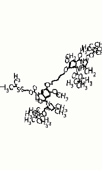 C=C1C[C@@H](CO[Si](C)(C)C(C)(C)C)N(C(=O)c2cc(OC)c(OCCCCCOc3cc(NC(=O)OCCSSC(C)C)c(C(=O)N4CC(C)(C)C[C@H]4CO[Si](C)(C)C(C)(C)C)cc3OC)cc2NC(=O)OC(C)(C)C)C1